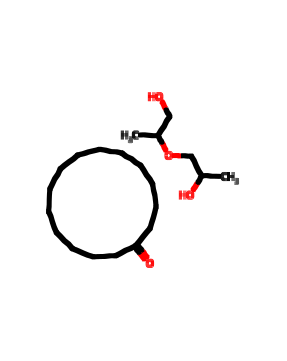 CC(O)COC(C)CO.O=C1CCCCCCCCCCCCCC1